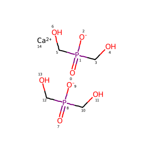 O=P([O-])(CO)CO.O=P([O-])(CO)CO.[Ca+2]